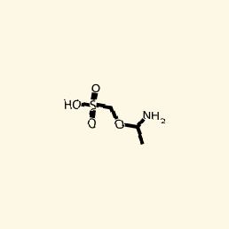 CC(N)OCS(=O)(=O)O